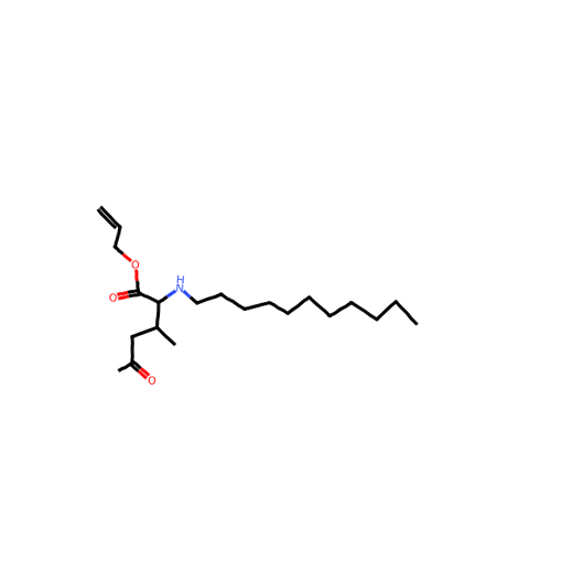 C=CCOC(=O)C(NCCCCCCCCCCC)C(C)CC(C)=O